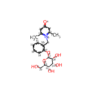 Cc1cc(=O)cc(C)n1Cc1ccccc1O[C@@H]1O[C@H](CO)[C@@H](O)[C@@H](O)[C@@H]1O